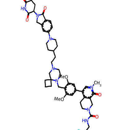 COc1cc(-c2cn(C)c(=O)c3c2CCN(C(=O)NCC(F)F)C3)cc(OC)c1CN1CCN(CCC2CCN(c3ccc4c(c3)CN(C3CCC(=O)NC3=O)C4=O)CC2)CC12CCC2